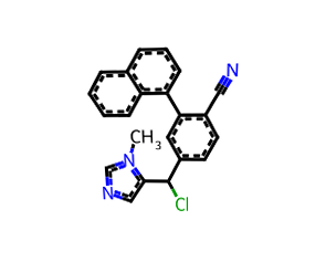 Cn1cncc1C(Cl)c1ccc(C#N)c(-c2cccc3ccccc23)c1